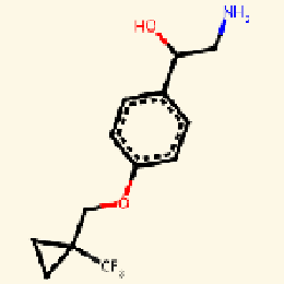 NCC(O)c1ccc(OCC2(C(F)(F)F)CC2)cc1